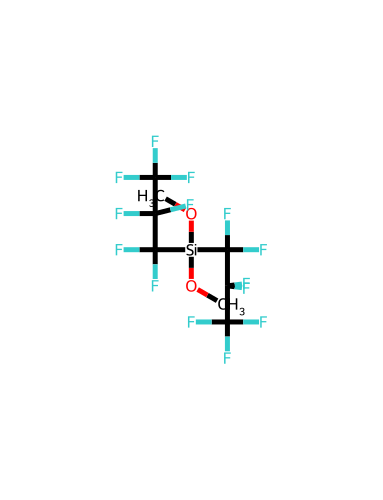 CO[Si](OC)(C(F)(F)C(F)(F)C(F)(F)F)C(F)(F)C(F)(F)C(F)(F)F